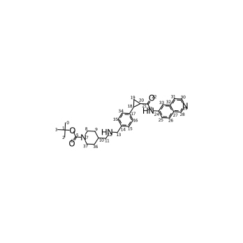 CC(C)(C)OC(=O)N1CCC(CNCc2ccc(C3CC3C(=O)Nc3ccc4cnccc4c3)cc2)CC1